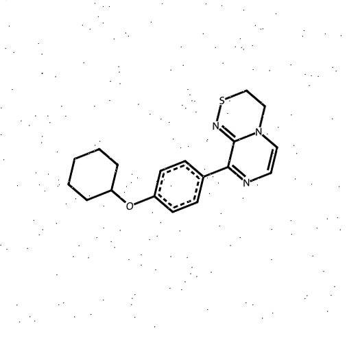 C1=CN2CCSN=C2C(c2ccc(OC3CCCCC3)cc2)=N1